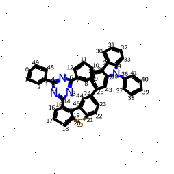 c1ccc(-c2nc(-c3ccccc3)nc(-c3cccc4sc5ccc(-c6ccc7c8ccccc8n(-c8ccccc8)c7c6)cc5c34)n2)cc1